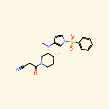 C[C@@H]1CCN(C(=O)CC#N)C[C@@H]1N(C)c1ccn(S(=O)(=O)c2ccccc2)c1